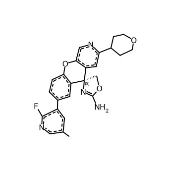 Cc1cnc(F)c(-c2ccc3c(c2)[C@@]2(COC(N)=N2)c2cc(C4CCOCC4)ncc2O3)c1